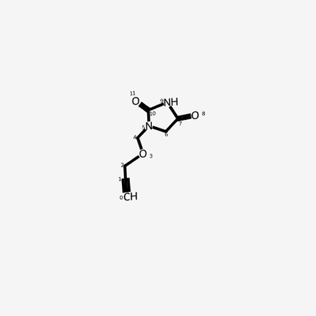 C#CCOCN1CC(=O)NC1=O